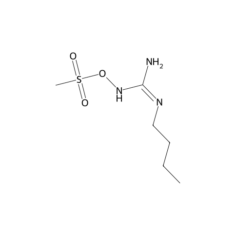 CCCCN=C(N)NOS(C)(=O)=O